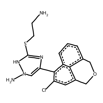 NCCSC1=NC(c2c(Cl)cc3c4c(cccc24)COC3)=CN(N)N1